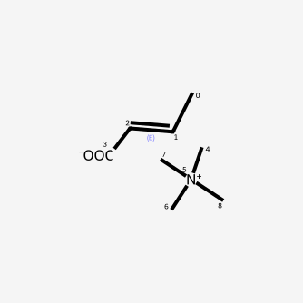 C/C=C/C(=O)[O-].C[N+](C)(C)C